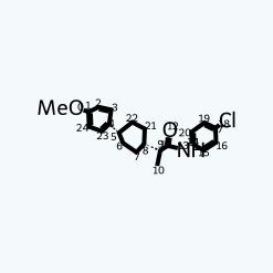 COc1ccc([C@H]2CC[C@@H](C(C)C(=O)Nc3ccc(Cl)cc3)CC2)cc1